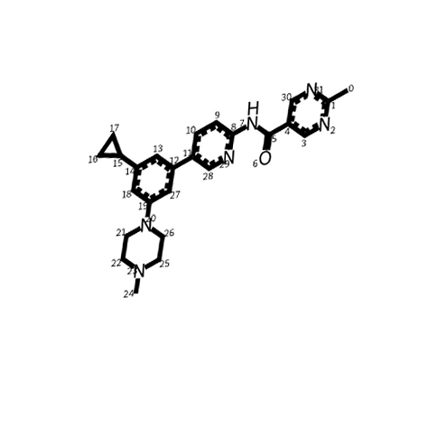 Cc1ncc(C(=O)Nc2ccc(-c3cc(C4CC4)cc(N4CCN(C)CC4)c3)cn2)cn1